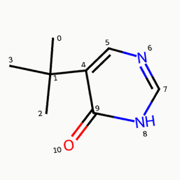 CC(C)(C)c1cnc[nH]c1=O